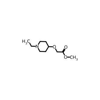 CCN1CCC(OCC(=O)OC)CC1